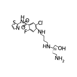 NCC[C@@H](CO)NCCCCNc1cc(F)c(S(=O)(=O)Nc2nccs2)cc1Cl